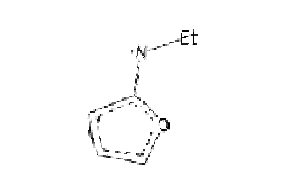 CC[N]c1ccco1